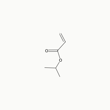 [CH]=CC(=O)OC(C)C